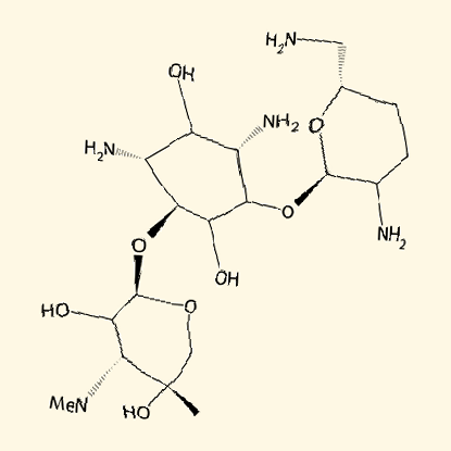 CN[C@@H]1C(O)[C@@H](O[C@@H]2C(O)C(O[C@H]3O[C@H](CN)CCC3N)[C@@H](N)C(O)[C@H]2N)OC[C@]1(C)O